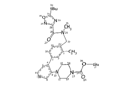 Cc1cc(-c2ccncc2N2CCN(C(=O)OC(C)(C)C)CC2)ccc1CN(C)C(=O)c1noc(C(C)(C)C)n1